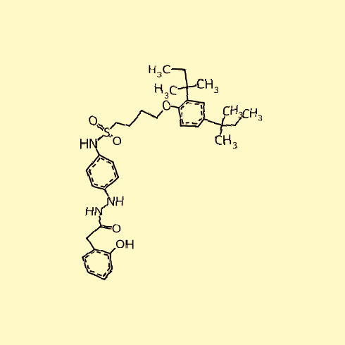 CCC(C)(C)c1ccc(OCCCCS(=O)(=O)Nc2ccc(NNC(=O)Cc3ccccc3O)cc2)c(C(C)(C)CC)c1